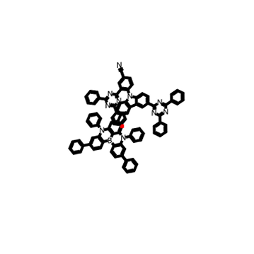 N#Cc1ccc(-n2c3ccc(-c4cc5c6c(c4)N(c4ccccc4)c4cc(-c7ccccc7)ccc4B6c4ccc(-c6ccccc6)cc4N5c4ccccc4)cc3c3cc(-c4nc(-c5ccccc5)nc(-c5ccccc5)n4)ccc32)c(-c2nc(-c3ccccc3)nc(-c3ccccc3)n2)c1